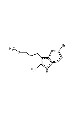 COCCCc1c(C)[nH]c2ccc(Br)cc12